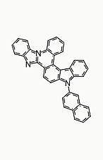 c1ccc2cc(-n3c4ccccc4c4c5c6ccccc6n6c7ccccc7nc6c5ccc43)ccc2c1